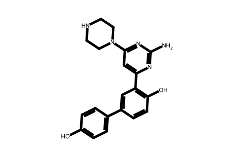 Nc1nc(-c2cc(-c3ccc(O)cc3)ccc2O)cc(N2CCNCC2)n1